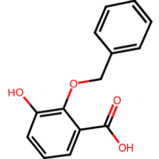 O=C(O)c1cccc(O)c1OCc1ccccc1